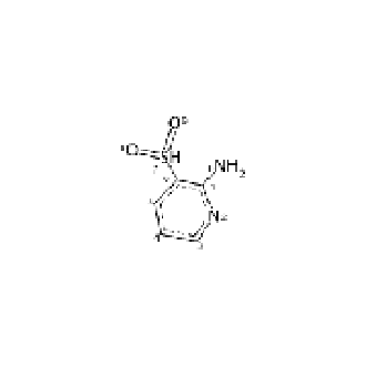 Nc1ncccc1[SH](=O)=O